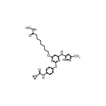 Cc1cc(Nc2cc(OCCCCCCCC(=O)NO)nc(Sc3ccc(NC(=O)C4CC4)cc3)n2)[nH]n1